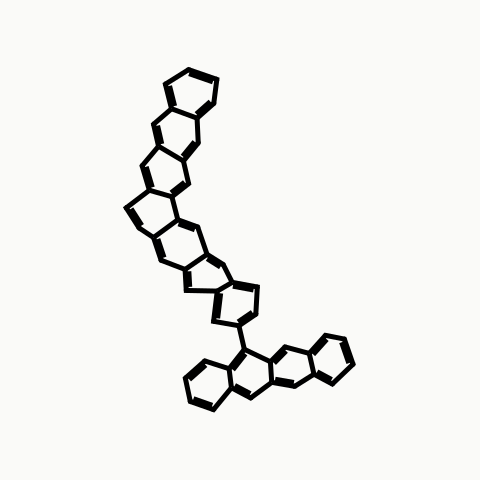 c1ccc2cc3cc4c(ccc5cc6cc7cc(-c8c9ccccc9cc9cc%10ccccc%10cc89)ccc7cc6cc54)cc3cc2c1